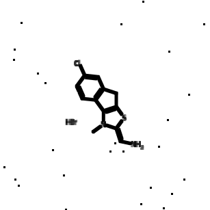 Br.CN1C2=C(Cc3cc(Cl)ccc32)S/C1=C\N